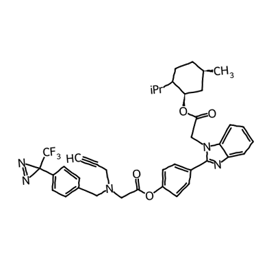 C#CCN(CC(=O)Oc1ccc(-c2nc3ccccc3n2CC(=O)O[C@@H]2C[C@H](C)CCC2C(C)C)cc1)Cc1ccc(C2(C(F)(F)F)N=N2)cc1